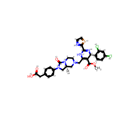 COC(=O)C1=C(CN2CCN3C(=O)N(c4ccc(CC(=O)O)cc4)C[C@@H]3C2)NC(c2nccs2)=N[C@H]1c1ccc(Cl)cc1Cl